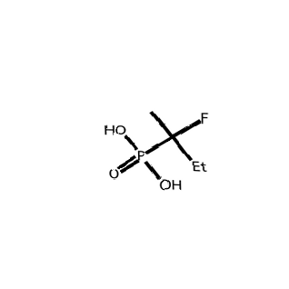 CCC(C)(F)P(=O)(O)O